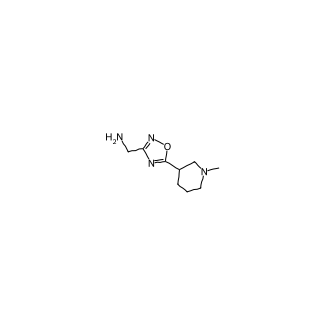 CN1CCCC(c2nc(CN)no2)C1